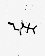 C=CCN(C)C(=O)C(C)(C)C(C)C